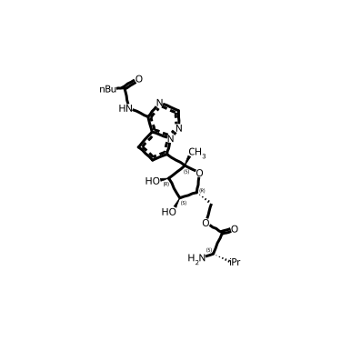 CCCCC(=O)Nc1ncnn2c([C@]3(C)O[C@H](COC(=O)[C@@H](N)C(C)C)[C@@H](O)[C@H]3O)ccc12